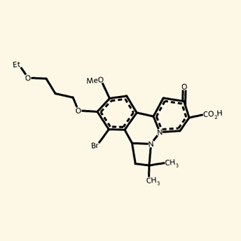 CCOCCCOc1c(OC)cc2c(c1Br)C1CC(C)(C)N1n1cc(C(=O)O)c(=O)cc1-2